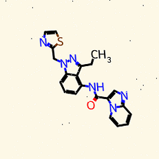 CCc1nn(Cc2nccs2)c2cccc(NC(=O)c3cnc4ccccn34)c12